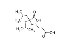 CC(C)CC(CCCCC(=O)O)(CC(C)C)C(=O)O